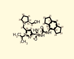 CC(C)n1nc(S(=N)(=O)NC(=O)Nc2c3c(cc4c2CCC4)CCC3)cc1CN1CCC[C@H]1CO